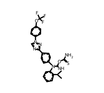 CC(C)c1ccccc1N(C(=N)OC(N)=S)c1ccc(-c2ncn(-c3ccc(OC(F)(F)F)cc3)n2)cc1